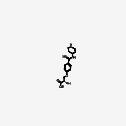 N=C(NC1CCNCC1)c1ccc(OC[C@H](O)C(=O)O)cc1